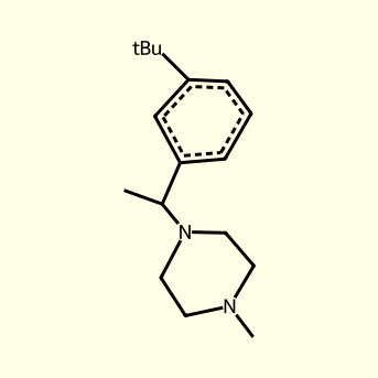 CC(c1cccc(C(C)(C)C)c1)N1CCN(C)CC1